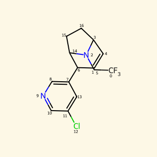 FC(F)(F)CN1C2C=CC(c3cncc(Cl)c3)C1CC2